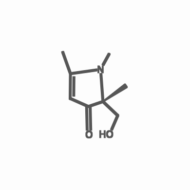 CC1=CC(=O)[C@@](C)(CO)N1C